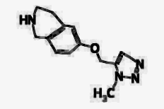 Cn1nncc1COc1ccc2c(c1)CCNC2